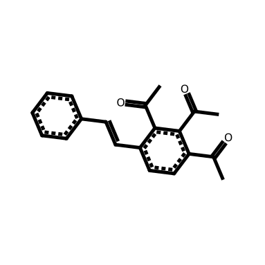 CC(=O)c1ccc(C=Cc2ccccc2)c(C(C)=O)c1C(C)=O